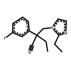 CCc1nccn1CC(C#N)(CC)c1cccc(F)c1